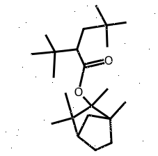 CC(C)(C)CC(C(=O)OC1(C)C2(C)CCC(C2)C1(C)C)C(C)(C)C